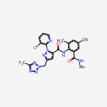 CCC(C)NC(=O)c1cc(C#N)cc(C)c1NC(=O)c1cc(Cn2nnc(C(F)(F)F)n2)nn1-c1ncccc1Cl